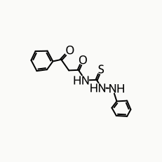 O=C(CC(=O)c1ccccc1)NC(=S)NNc1ccccc1